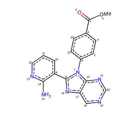 COC(=O)c1ccc(-n2c(-c3cccnc3N)nc3cncnc32)cc1